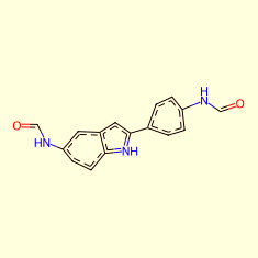 O=CNc1ccc(-c2cc3cc(NC=O)ccc3[nH]2)cc1